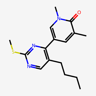 CCCCc1cnc(SC)nc1-c1cc(C)c(=O)n(C)c1